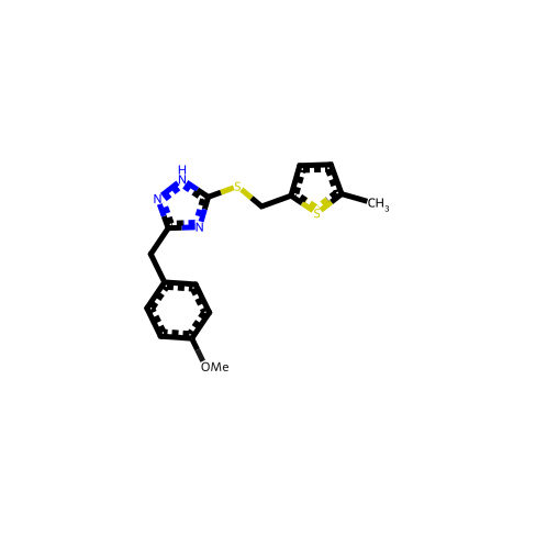 COc1ccc(Cc2n[nH]c(SCc3ccc(C)s3)n2)cc1